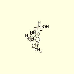 Cc1ccc(OCC2CC2)c(-c2ncnc3c(C(=O)N[C@H]4CC[C@H](NC(=O)CO)C4)c(C)[nH]c23)c1F